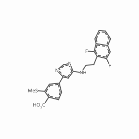 CSc1cc(-c2cc(NCCc3c(F)cc4ccccc4c3F)ncn2)ccc1C(=O)O